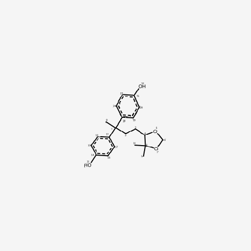 CC(CCC1OCOC1(C)C)(c1ccc(O)cc1)c1ccc(O)cc1